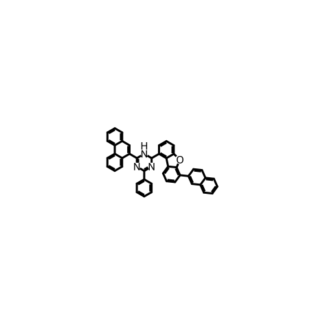 c1ccc(C2=NC(c3cccc4oc5c(-c6ccc7ccccc7c6)cccc5c34)NC(c3cc4ccccc4c4ccccc34)=N2)cc1